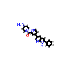 NC1CCN(C(=O)c2cc(-c3cnc4[nH]c(-c5ccccc5)cc4c3)ccn2)CC1